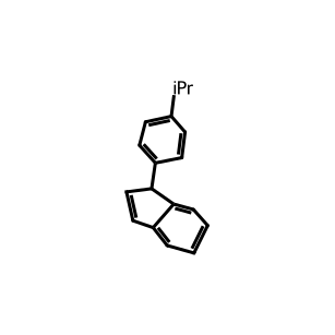 CC(C)c1ccc(C2C=Cc3ccccc32)cc1